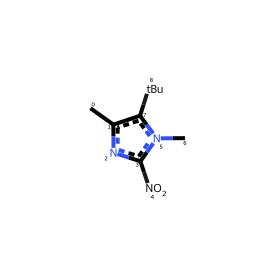 Cc1nc([N+](=O)[O-])n(C)c1C(C)(C)C